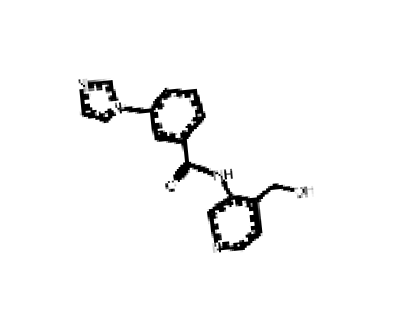 O=C(Nc1cnccc1CO)c1cccc(-n2ccnc2)c1